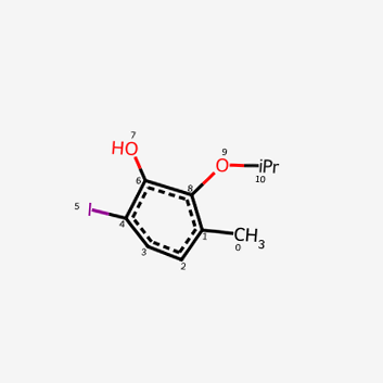 Cc1ccc(I)c(O)c1OC(C)C